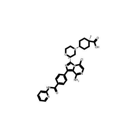 C[C@]1(C(=O)O)CC[C@H](N2CCO[C@@H](c3nc(-c4ccc(C(=O)Nc5ccccn5)cc4)c4c(N)ncc(Cl)n34)C2)CC1